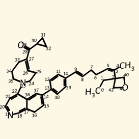 CCC1(/C(C)=C\CC/C=C/c2ccc(C3=CCC4=CN=CC=C(N5CC/C=C(\C(=O)C6CC6)CCC5)C4=C3)cc2)COC1